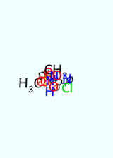 COc1cccc(OC)c1S(=O)(=O)Nc1noc2cc(C(Cl)c3ccccn3)c3c(c12)OCCC3